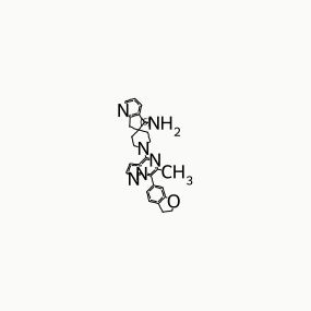 Cc1nc(N2CCC3(CC2)Cc2ncccc2[C@H]3N)c2ccnn2c1-c1ccc2c(c1)OCC2